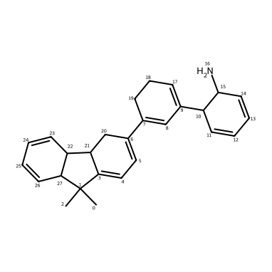 CC1(C)C2=CC=C(C3=CC(C4C=CC=CC4N)=CCC3)CC2C2C=CC=CC21